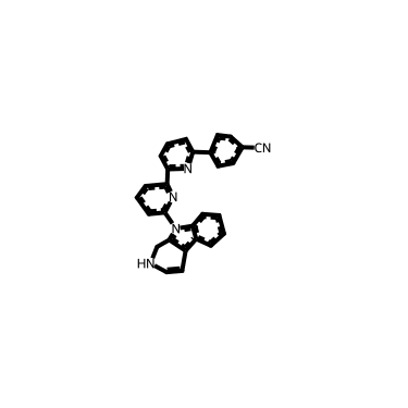 N#Cc1ccc(-c2cccc(-c3cccc(-n4c5c(c6ccccc64)C=CNC5)n3)n2)cc1